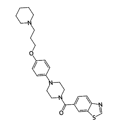 O=C(c1ccc2ncsc2c1)N1CCN(c2ccc(OCCCN3CCCCC3)cc2)CC1